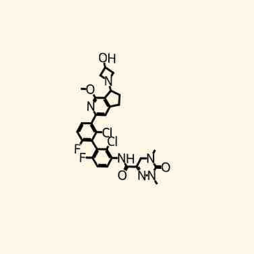 COc1nc(-c2ccc(F)c(-c3c(F)ccc(NC(=O)C4=NN(C)C(=O)N(C)C4)c3Cl)c2Cl)cc2c1C(N1CC(O)C1)CC2